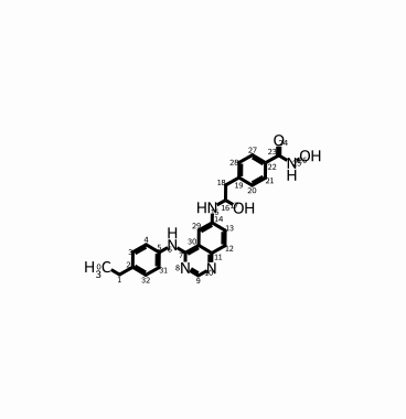 CCc1ccc(Nc2ncnc3ccc(NC(O)Cc4ccc(C(=O)NO)cc4)cc23)cc1